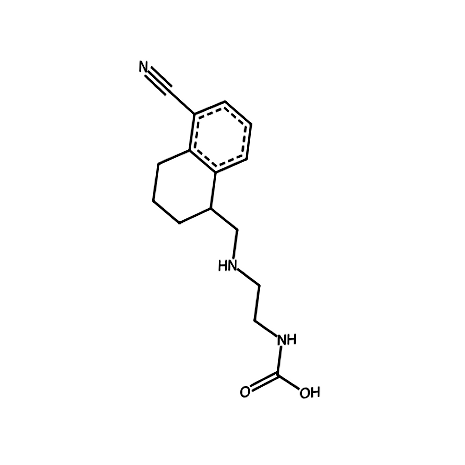 N#Cc1cccc2c1CCCC2CNCCNC(=O)O